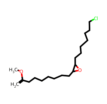 C=C(CCCCCCCC1OC1CCCCCCCCl)OC